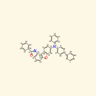 c1ccc(-c2ccc(N(c3ccccc3)c3ccc4c(c3)oc3ccc5oc(-c6ccccc6)nc5c34)cc2)cc1